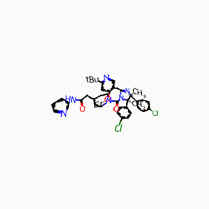 CCOc1cc(C(C)(C)C)ncc1C1=N[C@@](C)(c2ccc(Cl)cc2)[C@@](C)(c2ccc(Cl)cc2)N1C(=O)N1CCC(CC(=O)Nc2cccnc2)CC1